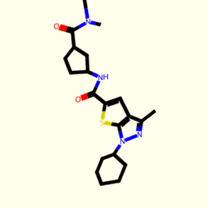 Cc1nn(C2CCCCC2)c2sc(C(=O)NC3CCC(C(=O)N(C)C)C3)cc12